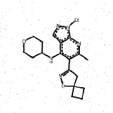 CCn1ncc2c(NC3CCOCC3)c(C3=NOC4(CCC4)C3)c(C)nc21